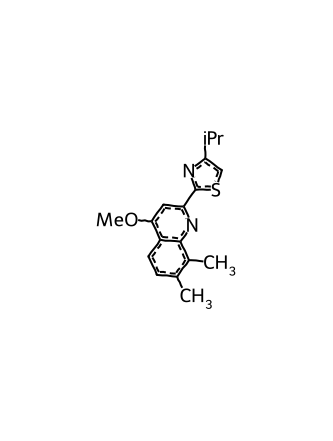 COc1cc(-c2nc(C(C)C)cs2)nc2c(C)c(C)ccc12